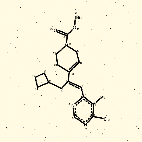 Cc1c(Cl)ncnc1/C=C(\CC1CCC1)C1=CCN(C(=O)OC(C)(C)C)CC1